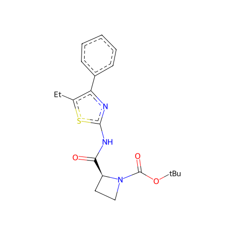 CCc1sc(NC(=O)[C@@H]2CCN2C(=O)OC(C)(C)C)nc1-c1ccccc1